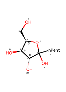 CCCCCC1(O)O[C@H](CO)[C@H](O)[C@H]1O